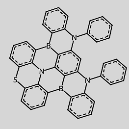 c1ccc(N2c3ccccc3B3c4cccc5c4N4c6c(cccc6B6c7ccccc7N(c7ccccc7)c7cc2c3c4c76)S5)cc1